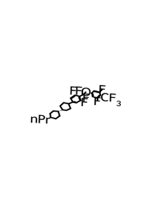 CCC[C@H]1CC[C@H](C2CCC(c3cc(F)c(C(F)(F)Oc4cc(F)c(C(F)(F)F)c(F)c4)c(F)c3)CC2)CC1